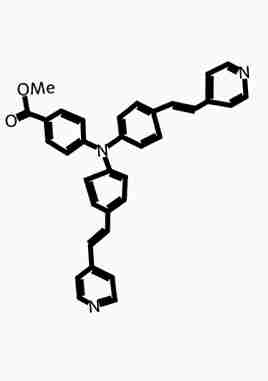 COC(=O)c1ccc(N(c2ccc(C=Cc3ccncc3)cc2)c2ccc(C=Cc3ccncc3)cc2)cc1